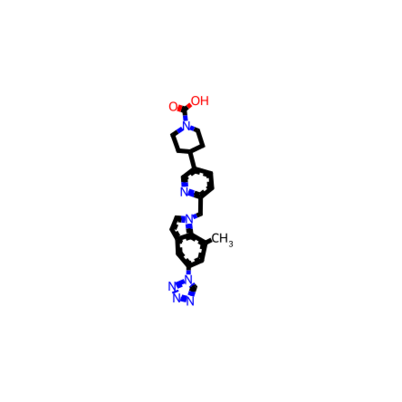 Cc1cc(-n2cnnn2)cc2ccn(Cc3ccc(C4CCN(C(=O)O)CC4)cn3)c12